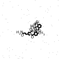 COC1Nc2c(ccc(C)c2OC(=O)c2cccc([N+](=O)[O-])c2C(=O)O)C(=O)N2C=C(C=CC(N)=O)CC12